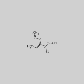 C=CCC(=CC)C(CC)C(=O)O